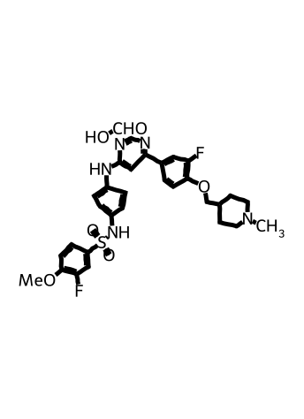 COc1ccc(S(=O)(=O)Nc2ccc(Nc3cc(-c4ccc(OCC5CCN(C)CC5)c(F)c4)ncn3)cc2)cc1F.O=CO